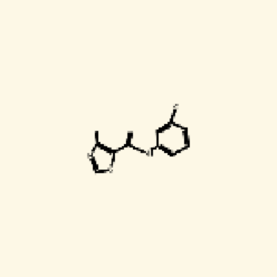 Cc1ncsc1C(=O)Nc1cccc(Cl)c1